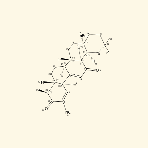 [C-]#[N+]C1=C[C@]2(C)C3=CC(=O)[C@@H]4[C@@H]5CC(C)(C)CC[C@]5(CCCC)CC[C@@]4(C)[C@]3(C)CC[C@H]2[C@H](C)C1=O